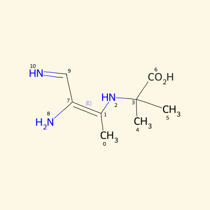 C/C(NC(C)(C)C(=O)O)=C(\N)C=N